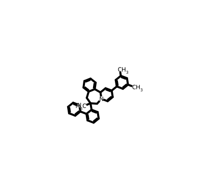 Cc1cc(C)cc(C2=CC3c4ccccc4CC(C)(c4ccccc4-c4ccccn4)CN3C=C2)c1